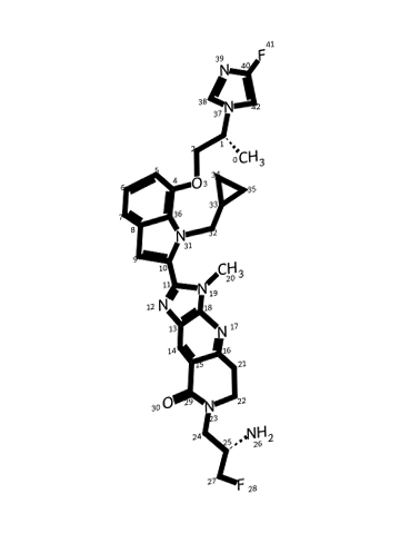 C[C@H](COc1cccc2cc(-c3nc4cc5c(nc4n3C)CCN(C[C@H](N)CF)C5=O)n(CC3CC3)c12)n1cnc(F)c1